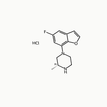 C[C@@H]1CN(c2cc(F)cc3ccoc23)CCN1.Cl